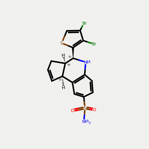 NS(=O)(=O)c1ccc2c(c1)[C@H]1C=CC[C@H]1[C@@H](c1scc(Br)c1Br)N2